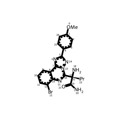 COc1ccc(-c2nc3c4cccc(Br)c4nc([C@](N)(C(N)=O)C(C)C)n3n2)cc1